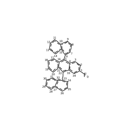 Fc1ccc2c(-c3cccc4ccccc34)c3ccccc3c(-c3cccc4ccccc34)c2c1